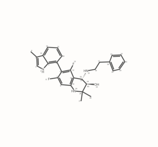 Cc1c[nH]c2c(-c3c(F)cc4c(c3F)[C@H](NCCc3ccccc3)[C@@H](O)C(C)(C)N4)cccc12